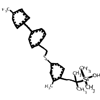 Cc1cc(SCc2ccc(-c3ccc(C(F)(F)F)cc3)cc2)ccc1CC(C)(C)[Si](C)(C)O